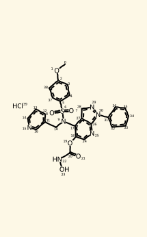 COc1ccc(S(=O)(=O)N(Cc2cccnc2)c2c(OC(=O)NO)cnc3c2cnn3-c2ccccc2)cc1.Cl